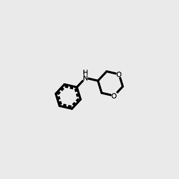 c1ccc(NC2COCOC2)cc1